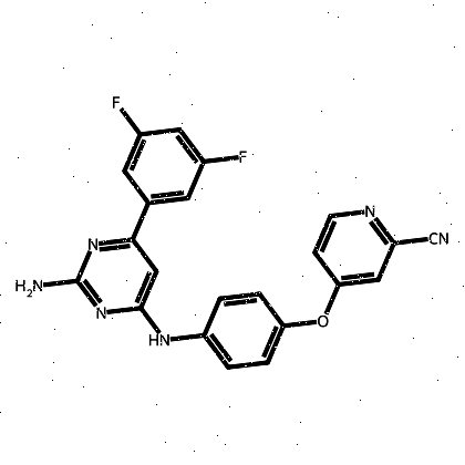 N#Cc1cc(Oc2ccc(Nc3cc(-c4cc(F)cc(F)c4)nc(N)n3)cc2)ccn1